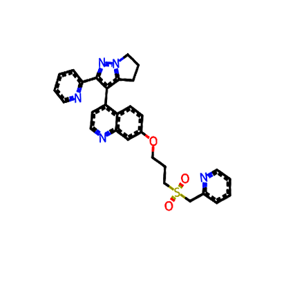 O=S(=O)(CCCOc1ccc2c(-c3c(-c4ccccn4)nn4c3CCC4)ccnc2c1)Cc1ccccn1